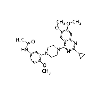 COc1cc2nc(C3CC3)nc(N3CCN(c4cc(NC(C)=O)ccc4OC)CC3)c2cc1OC